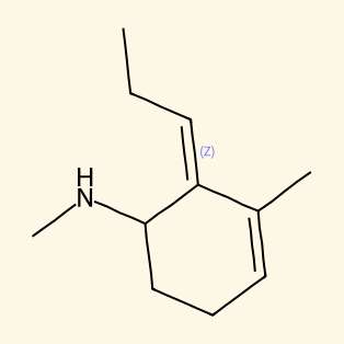 CC/C=C1/C(C)=CCCC1NC